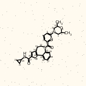 CC1CN(c2cccc(C(=O)N3CCc4cc(C(=O)NC5CC5)sc4-c4ccccc43)n2)CC(C)O1